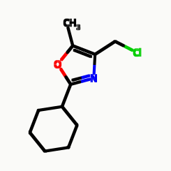 Cc1oc(C2CCCCC2)nc1CCl